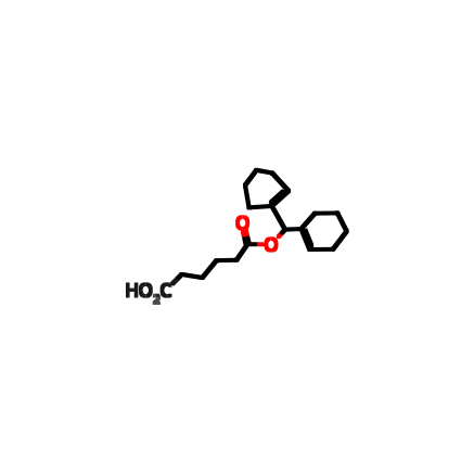 O=C(O)CCCCC(=O)OC(C1=CCCCC1)C1=CCCCC1